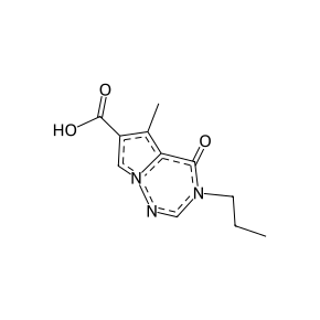 CCCn1cnn2cc(C(=O)O)c(C)c2c1=O